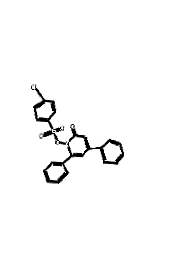 O=c1cc(-c2ccccc2)cc(-c2ccccc2)n1OS(=O)(=O)c1ccc(Cl)cc1